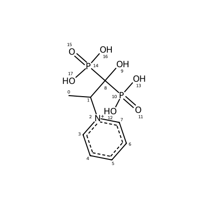 CC([n+]1ccccc1)C(O)(P(=O)(O)O)P(=O)(O)O